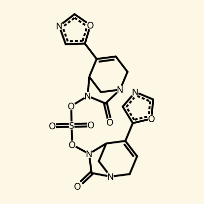 O=C1N2CC=C(c3cnco3)C(C2)N1OS(=O)(=O)ON1C(=O)N2CC=C(c3cnco3)C1C2